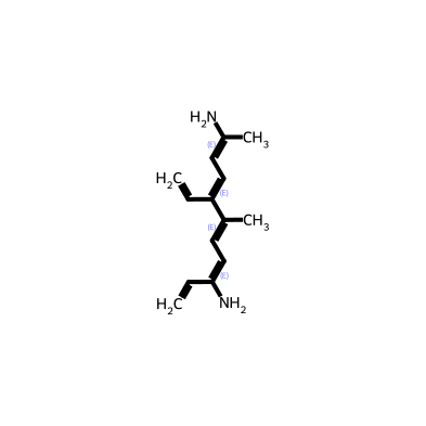 C=C\C(N)=C/C=C(C)/C(C=C)=C/C=C(\C)N